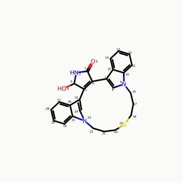 O=C1NC(O)C2=C1c1cn(c3ccccc13)CCCSCCCn1cc2c2ccccc21